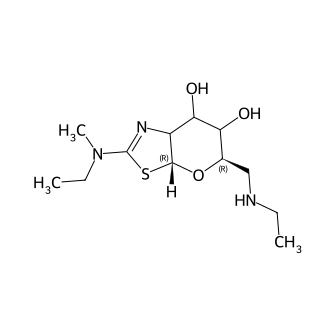 CCNC[C@H]1O[C@@H]2SC(N(C)CC)=NC2C(O)C1O